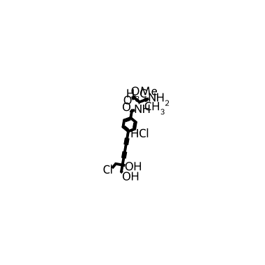 COC(=O)[C@@H](NC(=O)c1ccc(C#CC#CC(O)(CO)CCl)cc1)C(C)(C)N.Cl